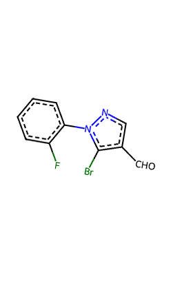 O=Cc1cnn(-c2ccccc2F)c1Br